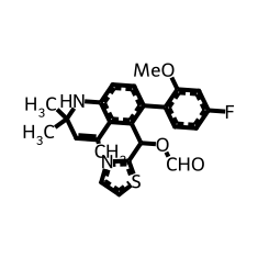 COc1cc(F)ccc1-c1ccc2c(c1C(OC=O)c1nccs1)C(C)=CC(C)(C)N2